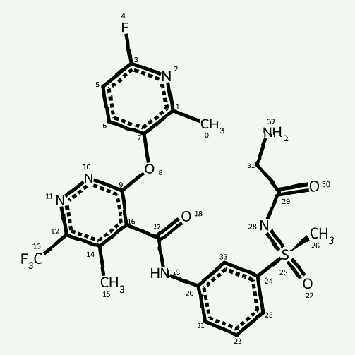 Cc1nc(F)ccc1Oc1nnc(C(F)(F)F)c(C)c1C(=O)Nc1cccc([S@@](C)(=O)=NC(=O)CN)c1